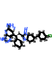 Nc1cc([C@H](Cc2nc3ccc(-c4ccc(Cl)cc4)cc3[nH]2)c2ccccc2)c2nn[nH]c2n1